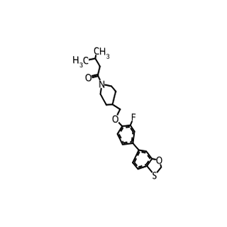 CC(C)CC(=O)N1CCC(COc2ccc(-c3ccc4c(c3)OCS4)cc2F)CC1